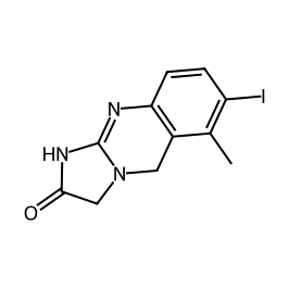 Cc1c(I)ccc2c1CN1CC(=O)NC1=N2